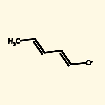 CC=CC=[CH][Cr]